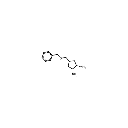 N[C@@H]1CC(COCc2ccccc2)C[C@H]1N